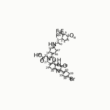 C=C(Cc1ccc(OC)cc1C(F)(F)F)Nc1ccc(C(=O)N(CC(=O)O)Cc2ccc3nc(-c4ccc(Br)cc4)c(=O)[nH]c3c2)cc1